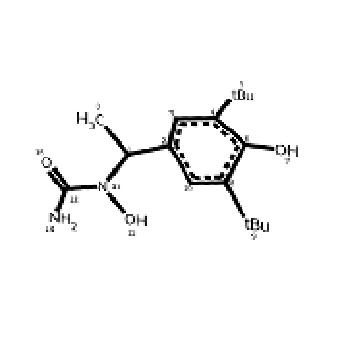 CC(c1cc(C(C)(C)C)c(O)c(C(C)(C)C)c1)N(O)C(N)=O